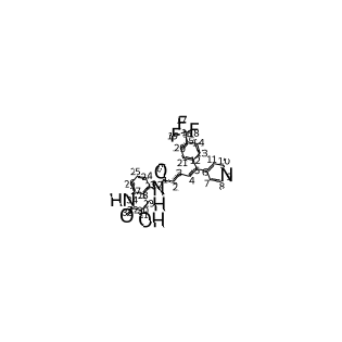 O=C(/C=C/C=C(/c1ccncc1)c1ccc(C(F)(F)F)cc1)Nc1cccc2c1CC(O)C(=O)N2